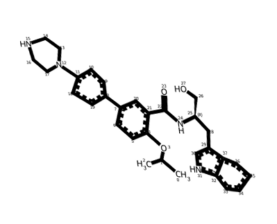 CC(C)Oc1ccc(-c2ccc(N3CCNCC3)cc2)cc1C(=O)N[C@@H](CO)Cc1c[nH]c2ccccc12